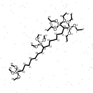 CCO[Si](OCC)(OCC)C(CCCCCC(CCCCCCC[Si](OC)(OC)OC)[Si](OC)(OC)OC)[Si](OCC)(OCC)OCC